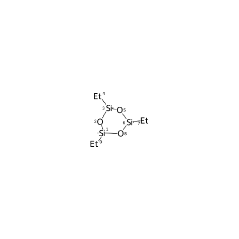 CC[Si]1O[Si](CC)O[Si](CC)O1